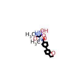 CNC(=O)C(C(=O)NO)N(C)C(=O)c1ccc(-c2ccc3c(c2)OCC3)cc1